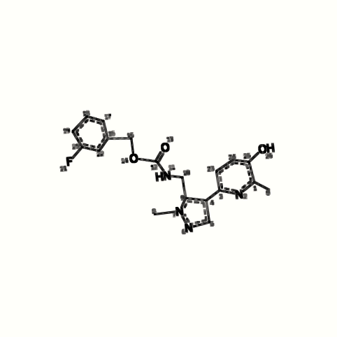 Cc1nc(-c2cnn(C)c2CNC(=O)OCc2cccc(F)c2)ccc1O